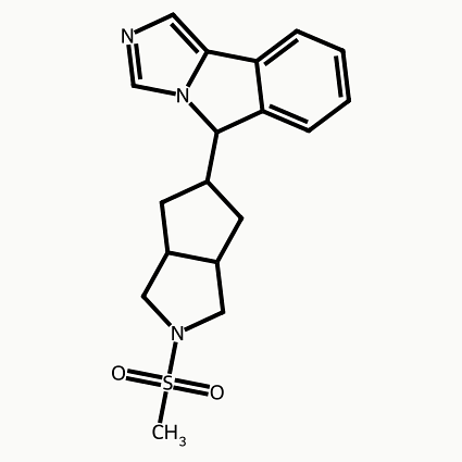 CS(=O)(=O)N1CC2CC(C3c4ccccc4-c4cncn43)CC2C1